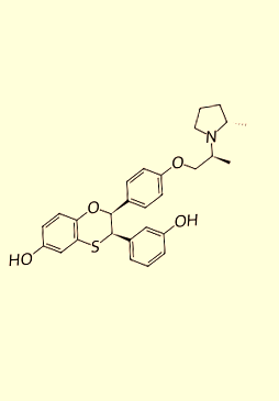 C[C@H]1CCCN1[C@@H](C)COc1ccc([C@@H]2Oc3ccc(O)cc3S[C@@H]2c2cccc(O)c2)cc1